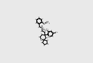 Cc1cc(F)cnc1C1(CCNCc2ccccc2OC(F)(F)F)CCOC2(CCCC2)C1